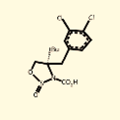 CC(C)(C)[C@@]1(Cc2ccc(Cl)c(Cl)c2)COS(=O)N1C(=O)O